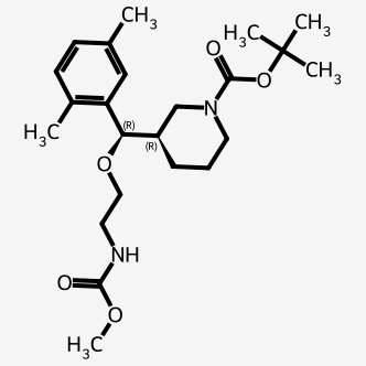 COC(=O)NCCO[C@@H](c1cc(C)ccc1C)[C@@H]1CCCN(C(=O)OC(C)(C)C)C1